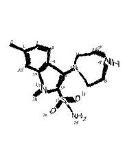 Cc1ccc2c(N3CCNCC3)c(S(N)(=O)=O)n(C)c2c1